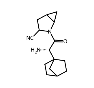 N#CC1CC2CC2N1C(=O)[C@@H](N)C12CCC(CC1)C2